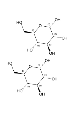 OC[C@H]1O[C@H](O)[C@H](O)[C@@H](O)[C@@H]1O.OC[C@H]1O[C@H](O)[C@H](O)[C@@H](O)[C@@H]1O